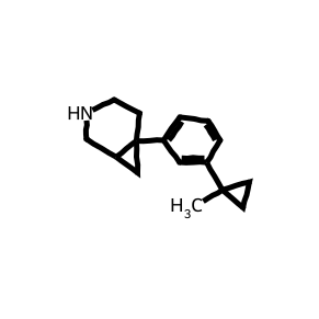 CC1(c2cccc(C34CCNCC3C4)c2)CC1